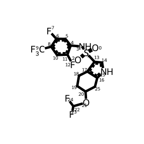 O=S(=O)(Nc1cc(F)c(C(F)(F)F)cc1F)c1c[nH]c2c1CCC(OC(F)F)C2